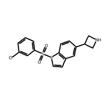 O=S(=O)(c1cccc(Cl)c1)n1ccc2cc(C3CNC3)ccc21